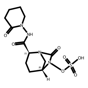 O=C(NN1CCCCC1=O)[C@@H]1CC[C@@H]2CN1C(=O)N2OS(=O)(=O)O